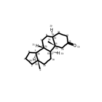 C[C@@]12CCC[C@H]1[C@@H]1CC[C@H]3CCC(=O)C[C@]3(C)[C@H]1CC2